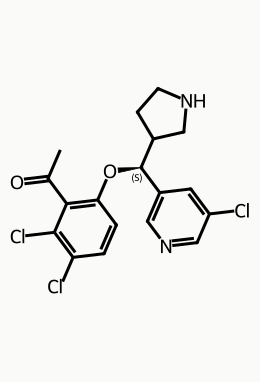 CC(=O)c1c(O[C@H](c2cncc(Cl)c2)C2CCNC2)ccc(Cl)c1Cl